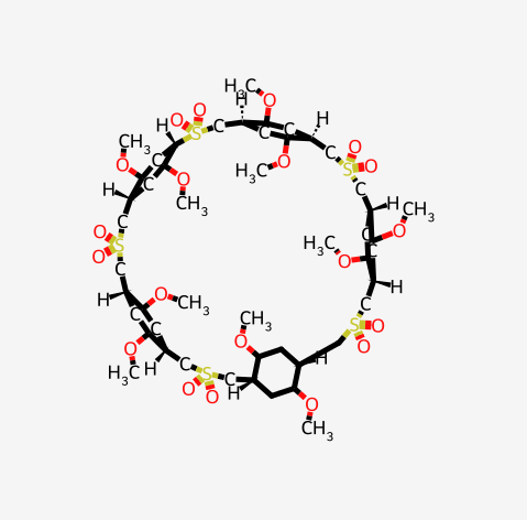 COC1C[C@@H]2CS(=O)(=O)C[C@H]3CC(OC)[C@H](CC3OC)CS(=O)(=O)C[C@@H]3CC(OC)[C@@H](CC3OC)CS(=O)(=O)[C@H]3CC(OC)[C@H](CC3OC)CS(=O)(=O)C[C@H]3CC(OC)[C@H](CC3OC)CS(=O)(=O)C[C@H]1CC2OC